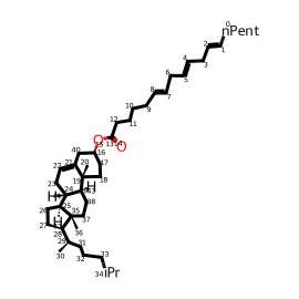 CCCCC/C=C/C/C=C/C/C=C/CCCCC(=O)O[C@H]1CC[C@@]2(C)C(=CC[C@H]3[C@@H]4CC[C@H]([C@H](C)CCCC(C)C)[C@@]4(C)CC[C@@H]32)C1